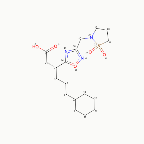 O=C(O)C[C@@H](CCCC1CCCCC1)c1nc(CN2CCCS2(=O)=O)no1